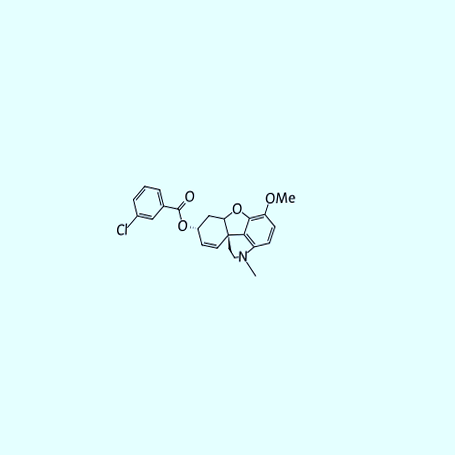 COc1ccc2c3c1OC1C[C@@H](OC(=O)c4cccc(Cl)c4)C=C[C@@]31CCN2C